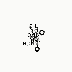 CCN1CC(=O)N2[C@@H](CCSC)C(=O)N(C3CCCCC3)C[C@@H]2N1C(=O)NCc1ccccc1